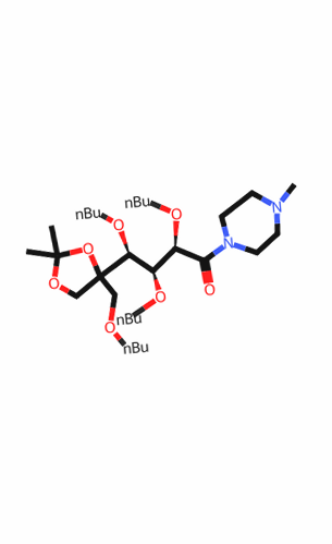 CCCCOCC1([C@@H](OCCCC)[C@H](OCCCC)[C@@H](OCCCC)C(=O)N2CCN(C)CC2)COC(C)(C)O1